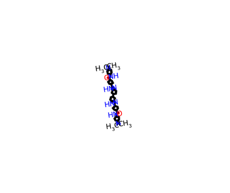 CN(C)c1ccc(NC(=O)c2ccc(-c3nc4cc(-c5ccc6nc(-c7ccc(C(=O)Nc8ccc(N(C)C)cc8)cc7)[nH]c6c5)ccc4[nH]3)cc2)cc1